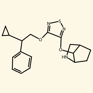 c1ccc(C(COc2nsnc2OC2C3CCC2NC3)C2CC2)cc1